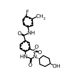 Cc1cc(NC(=O)c2ccc3c(c2)S(=O)(=O)N([C@H]2CC[C@H](O)CC2)C(=O)N3)ccc1F